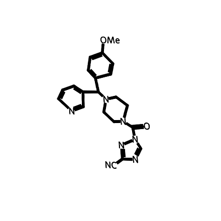 COc1ccc(C(c2cccnc2)N2CCN(C(=O)n3cnc(C#N)n3)CC2)cc1